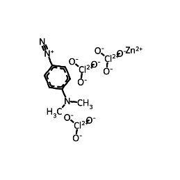 CN(C)c1ccc([N+]#N)cc1.[O-][Cl+2]([O-])[O-].[O-][Cl+2]([O-])[O-].[O-][Cl+2]([O-])[O-].[Zn+2]